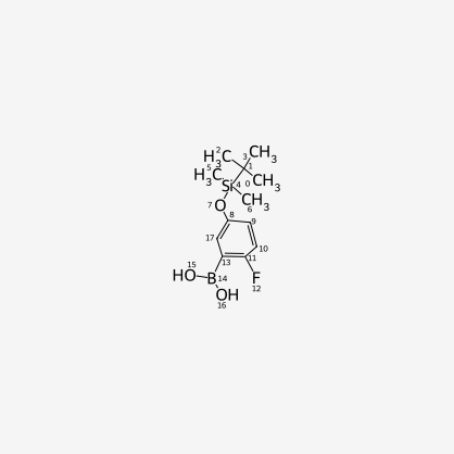 CC(C)(C)[Si](C)(C)Oc1ccc(F)c(B(O)O)c1